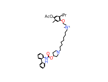 CC(=O)Oc1cc(C(C)C)c(OCC[N+](C)(C)CCCCCCCCCN2CCC(OC(=O)Nc3ccccc3-c3ccccc3)CC2)cc1C